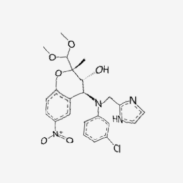 COC(OC)[C@@]1(C)Oc2ccc([N+](=O)[O-])cc2[C@H](N(Cc2ncc[nH]2)c2cccc(Cl)c2)[C@H]1O